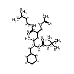 CC(=O)OCC(C[C@H](O)[C@H](CC1CCCCC1)NC(=O)OC(C)(C)C)C(=O)NCCC(C)C